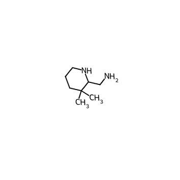 CC1(C)CCCNC1CN